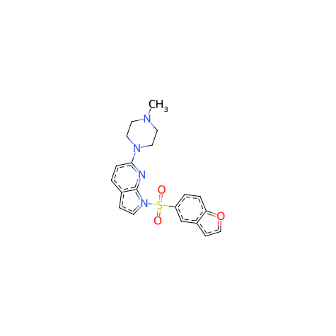 CN1CCN(c2ccc3ccn(S(=O)(=O)c4ccc5occc5c4)c3n2)CC1